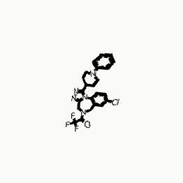 O=C(N1Cc2cc(Cl)ccc2-n2c(nnc2C2CCN(c3ccccc3)CC2)C1)C(F)(F)F